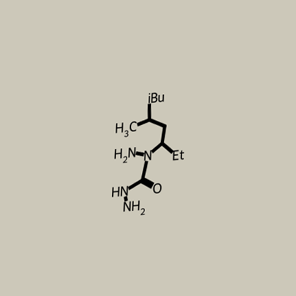 CCC(C)C(C)CC(CC)N(N)C(=O)NN